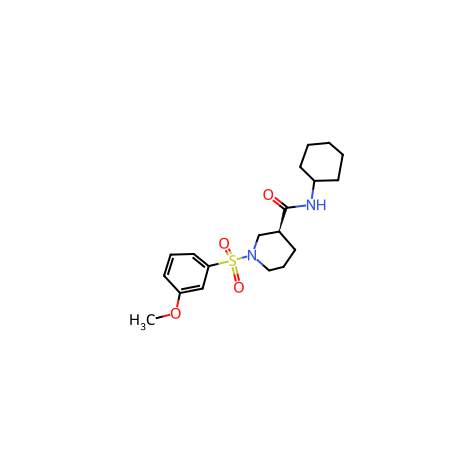 COc1cccc(S(=O)(=O)N2CCC[C@H](C(=O)NC3CCCCC3)C2)c1